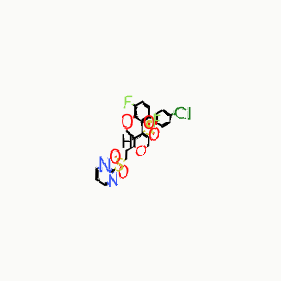 O=S(=O)(CC[C@@H]1OCC[C@@]2(S(=O)(=O)c3ccc(Cl)cc3)c3c(F)ccc(F)c3OC[C@@H]12)c1ncccn1